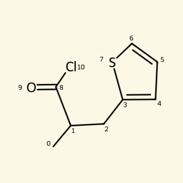 CC(Cc1cccs1)C(=O)Cl